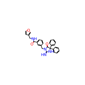 N=C1NC(c2ccccc2)(c2ccccc2)C(=O)N1Cc1cccc(C(=O)NCc2ccoc2)c1